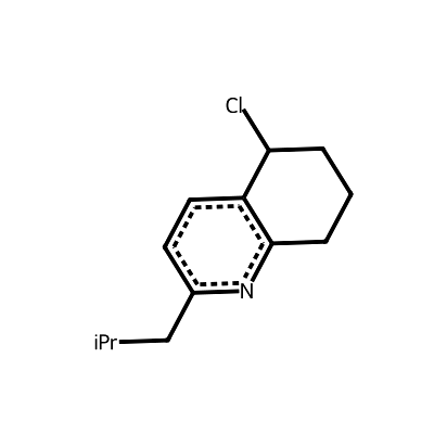 CC(C)Cc1ccc2c(n1)CCCC2Cl